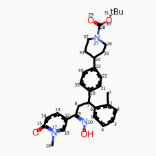 Cc1ccccc1C(C/C(=N/O)c1ccc(=O)n(C)c1)c1ccc(C2CCN(C(=O)OC(C)(C)C)CC2)cc1